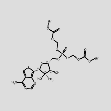 CC(C)OC(=O)OCOP(=O)(OCOC(=O)OC(C)C)OC[C@H]1O[C@@H](c2scc3c(N)ncnc23)[C@](C)(O)[C@@H]1O